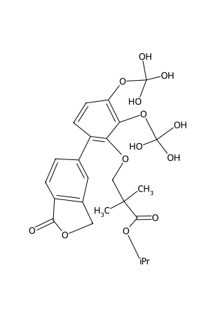 CC(C)OC(=O)C(C)(C)COc1c(-c2ccc3c(c2)COC3=O)ccc(OC(O)(O)O)c1OC(O)(O)O